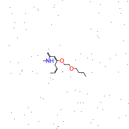 C=C(/C=C(\C/C=C\C)OCCOCCCC)NC